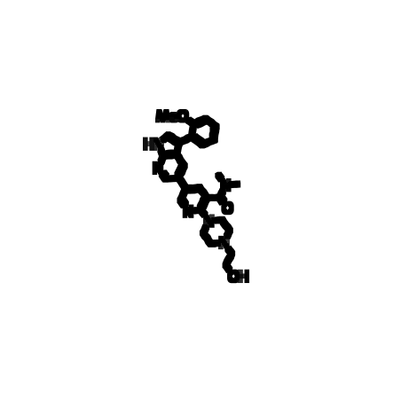 COc1ccccc1-c1c[nH]c2ncc(-c3cnc(N4CCN(CCO)CC4)c(C(=O)N(C)C)c3)cc12